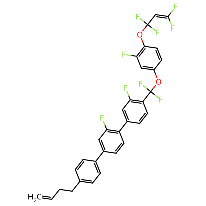 C=CCCc1ccc(-c2ccc(-c3ccc(C(F)(F)Oc4ccc(OC(F)(F)C=C(F)F)c(F)c4)c(F)c3)c(F)c2)cc1